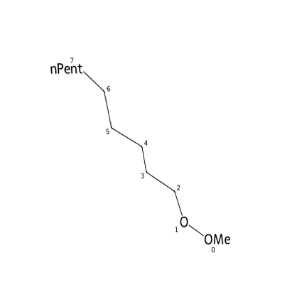 [CH2]OOCCCCCCCCCC